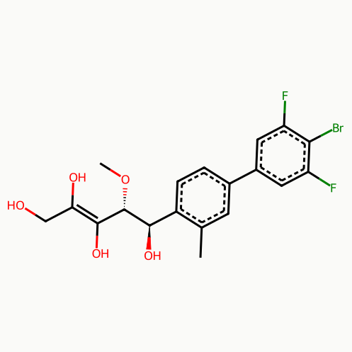 CO[C@@H](/C(O)=C(\O)CO)[C@H](O)c1ccc(-c2cc(F)c(Br)c(F)c2)cc1C